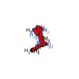 CCn1nc(C)cc1C(=O)Nc1nc2cc(C(N)=O)ccc2n1C/C=C/Cn1c(NC(=O)c2cc(C)nn2CC)nc2cc(C(N)=O)cc(OCCCN3CCC(c4nnc5n4CCN(C(=O)[C@H](CC(C)C)NC(=O)OCc4ccc(NC(=O)[C@H](CCCNC(N)=O)NC(=O)[C@@H](NC(=O)CCOCCOCCOCCOCCONC(=O)OC(C)(C)C)C(C)C)cc4)C5)CC3)c21